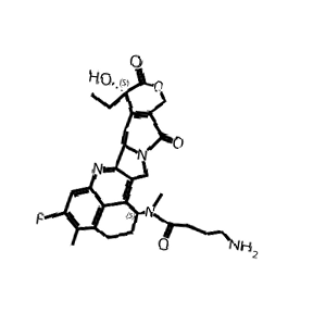 CC[C@@]1(O)C(=O)OCc2c1cc1n(c2=O)Cc2c-1nc1cc(F)c(C)c3c1c2[C@@H](N(C)C(=O)CCCN)CC3